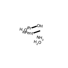 CC(C)O.CCCCCC.N.O.O